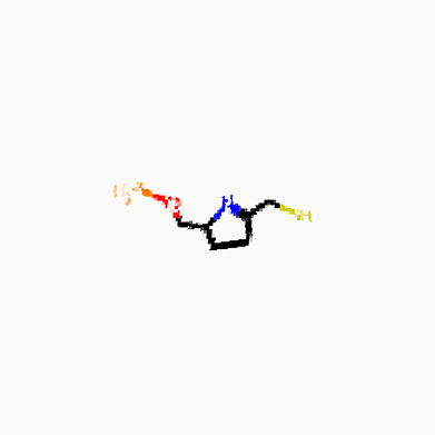 POCC1CCC(CS)=N1